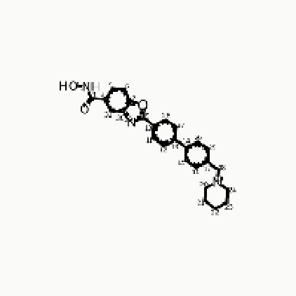 O=C(NO)c1ccc2oc(-c3ccc(-c4ccc(CN5CCCCC5)cc4)cc3)nc2c1